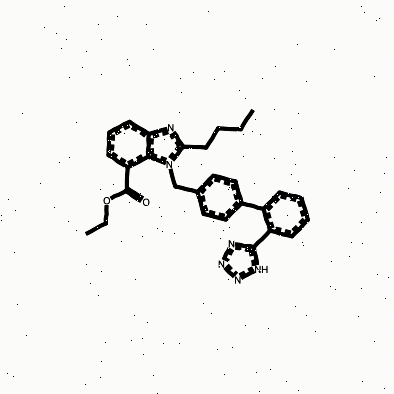 CCCCc1nc2cccc(C(=O)OCC)c2n1Cc1ccc(-c2ccccc2-c2nnn[nH]2)cc1